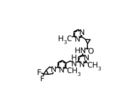 Cc1ccnc(C2CC2C(=O)Nc2cc(NCc3ccc(N4CC5C(C4)C5(F)F)nc3C)nc(C)n2)n1